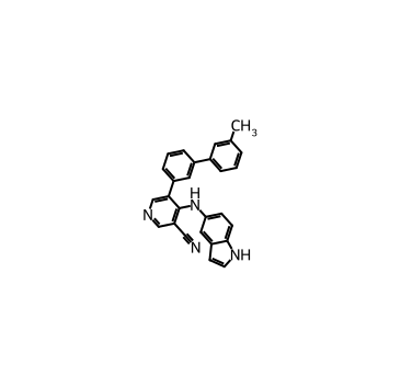 Cc1cccc(-c2cccc(-c3cncc(C#N)c3Nc3ccc4[nH]ccc4c3)c2)c1